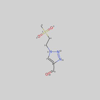 CS(=O)(=O)CCn1cc(C=O)nn1